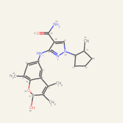 CC1=C(C)c2cc(Nc3nn(C4CCCC4C#N)cc3C(N)=O)cc(C)c2OB1O